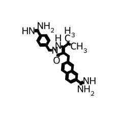 CC(C)c1[nH]n(Cc2ccc(C(=N)N)cc2)c(=O)c1Cc1ccc2ccc(C(=N)N)cc2c1